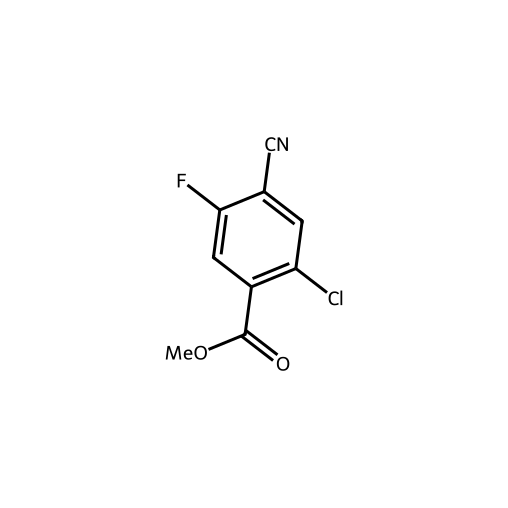 COC(=O)c1cc(F)c(C#N)cc1Cl